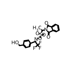 CC(N1C(=O)c2ccccc2C1=O)S(=O)(=O)ON=C(c1ccc(CO)cc1)C(F)(F)F